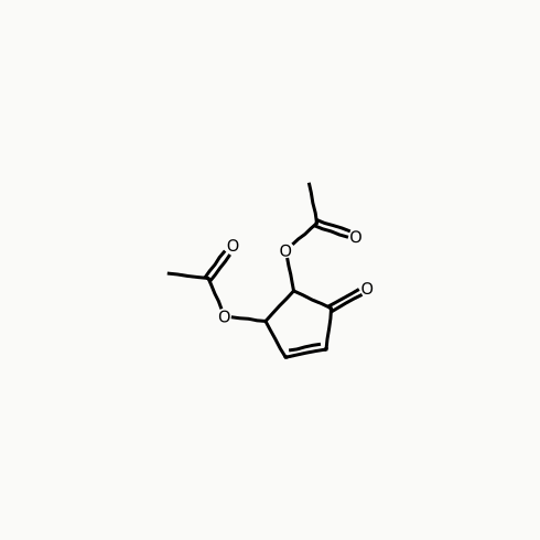 CC(=O)OC1C=CC(=O)C1OC(C)=O